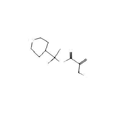 C=C(CBr)C(=O)OC(C)(C)C1CCNCC1